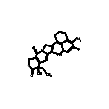 CCC1(O)C(=O)OCc2c1cc1n(c2=O)CC2=C1NC1C=C(F)C(C)=C3CCCC2=C31